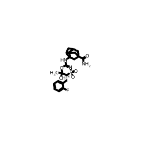 CC1(C)OC(NC23CC4CC2CC(C(N)=O)(C4)C3)=NS(=O)(=O)[C@@H]1Cc1ccccc1F